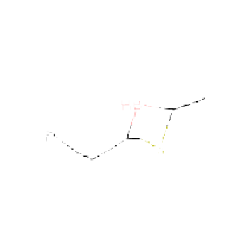 CC(C)CC1BC(C)S1